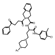 CC(=O)N1CCN(CCC(NC(=O)C2Cc3ccccc3CN2C(=O)CCC(=O)c2ccccc2)C(=O)Nc2ccc(Cl)c(C)c2)CC1